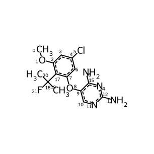 COc1cc(Cl)cc(Oc2cnc(N)nc2N)c1C(C)(C)F